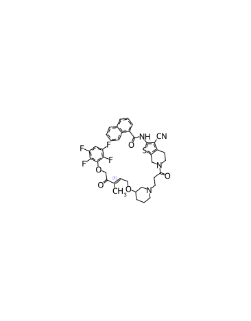 C/C(=C\COC1CCCN(CCC(=O)N2CCc3c(sc(NC(=O)c4cccc5ccccc45)c3C#N)C2)C1)C(=O)COc1c(F)c(F)cc(F)c1F